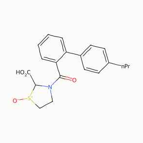 CCCc1ccc(-c2ccccc2C(=O)N2CC[S+]([O-])C2C(=O)O)cc1